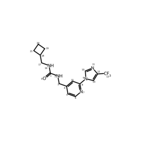 O=C(NCc1ccnc(-n2cnc(C(F)(F)F)c2)c1)NCC1CCC1